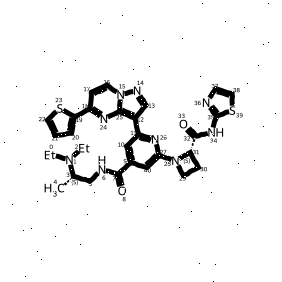 CCN(CC)[C@@H](C)CNC(=O)c1cc(-c2cnn3ccc(-c4cccs4)nc23)nc(N2CC[C@H]2C(=O)Nc2nccs2)c1